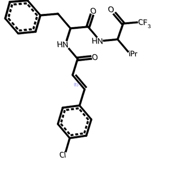 CC(C)C(NC(=O)C(Cc1ccccc1)NC(=O)/C=C/c1ccc(Cl)cc1)C(=O)C(F)(F)F